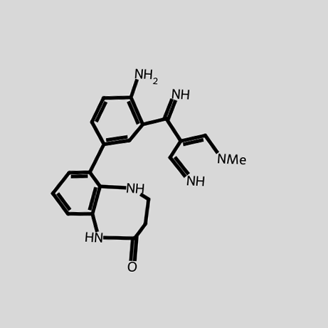 CN/C=C(\C=N)C(=N)c1cc(-c2cccc3c2NCCC(=O)N3)ccc1N